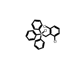 Clc1cccc(Cl)c1CP(Cl)(c1ccccc1)(c1ccccc1)c1ccccc1